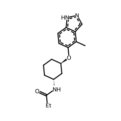 CCC(=O)N[C@@H]1CCC[C@@H](Oc2ccc3[nH]ncc3c2C)C1